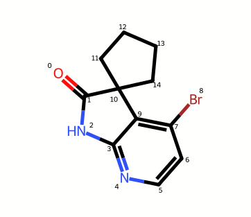 O=C1Nc2nccc(Br)c2C12CCCC2